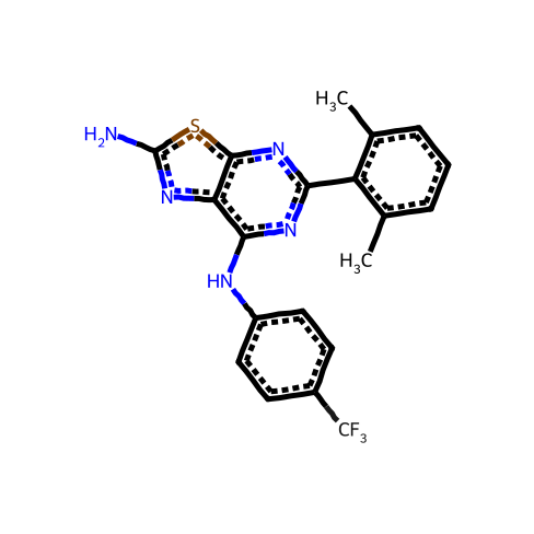 Cc1cccc(C)c1-c1nc(Nc2ccc(C(F)(F)F)cc2)c2nc(N)sc2n1